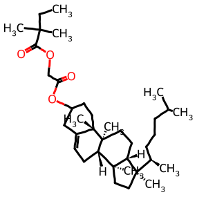 CCC(C)(C)C(=O)OCC(=O)OC1CC[C@@]2(C)C(=CC[C@H]3[C@]4(C)CC[C@](C)([C@H](C)CCCC(C)C)[C@H]4CC[C@@]32C)C1